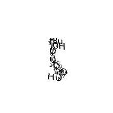 CC(C)(C)CC(O)COCCOc1ccc(C(=O)C(C)(C)O)cc1